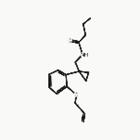 C=CCOc1ccccc1C1(CNC(=O)CCC)CC1